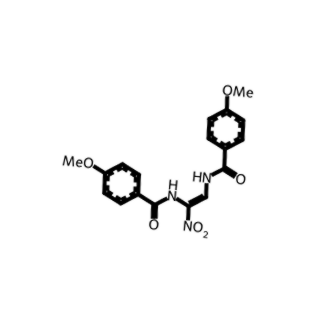 COc1ccc(C(=O)NC=C(NC(=O)c2ccc(OC)cc2)[N+](=O)[O-])cc1